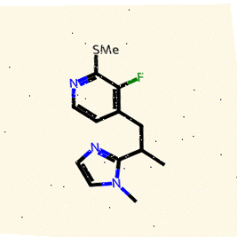 CSc1nccc(CC(C)c2nccn2C)c1F